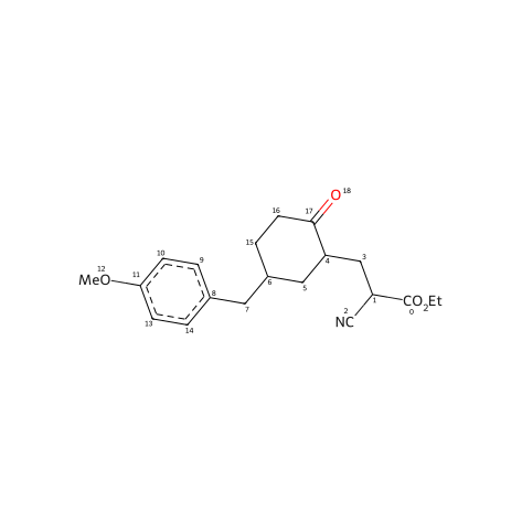 CCOC(=O)C(C#N)CC1CC(Cc2ccc(OC)cc2)CCC1=O